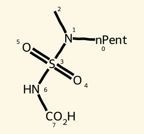 CCCCCN(C)S(=O)(=O)NC(=O)O